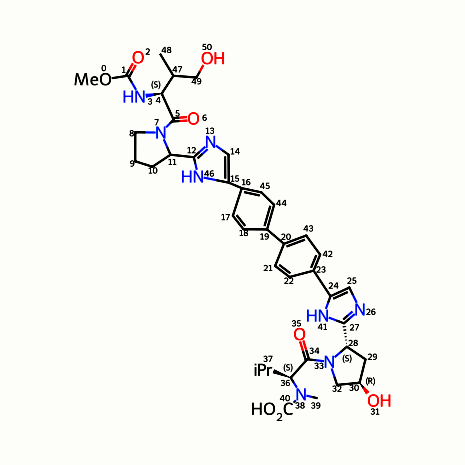 COC(=O)N[C@H](C(=O)N1CCCC1c1ncc(-c2ccc(-c3ccc(-c4cnc([C@@H]5C[C@@H](O)CN5C(=O)[C@H](C(C)C)N(C)C(=O)O)[nH]4)cc3)cc2)[nH]1)C(C)CO